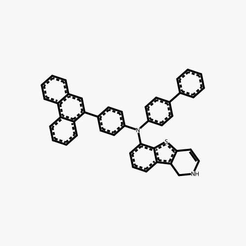 C1=Cc2sc3c(N(c4ccc(-c5ccccc5)cc4)c4ccc(-c5cc6ccccc6c6ccccc56)cc4)cccc3c2CN1